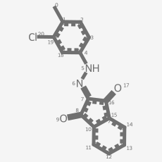 Cc1ccc(NN=c2c(=O)c3ccccc3c2=O)cc1Cl